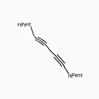 CCCCCC#CC#CCCCCC